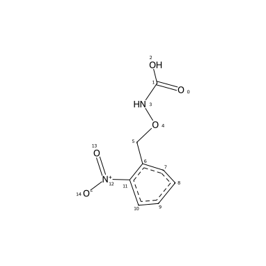 O=C(O)NOCc1ccccc1[N+](=O)[O-]